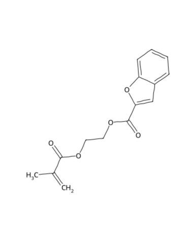 C=C(C)C(=O)OCCOC(=O)c1cc2ccccc2o1